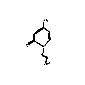 Nc1ccn(CCO)c(=O)c1